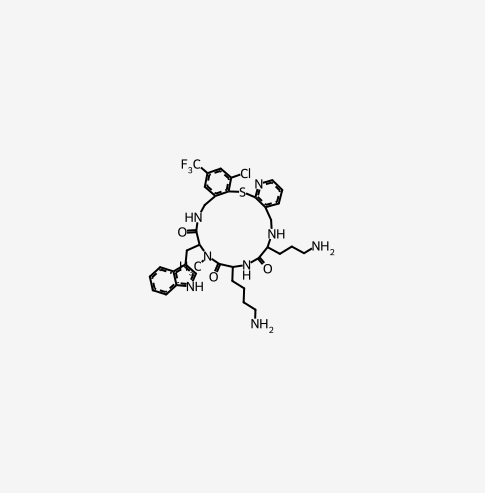 CN1C(=O)C(CCCCN)NC(=O)C(CCCN)NCc2cccnc2Sc2c(Cl)cc(C(F)(F)F)cc2CNC(=O)C1Cc1c[nH]c2ccccc12